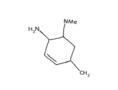 CNC1CC(C)C=CC1N